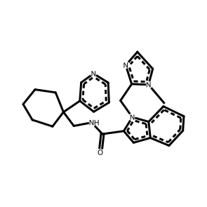 Cn1ccnc1Cn1c(C(=O)NCC2(c3cccnc3)CCCCC2)cc2ccccc21